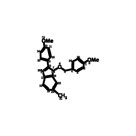 COc1ccc(COn2c(-c3ccc(OC)cc3)nc3ccc(C)cc32)cc1